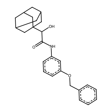 O=C(Nc1cccc(OCc2ccccc2)c1)C(O)C12CC3CC(CC(C3)C1)C2